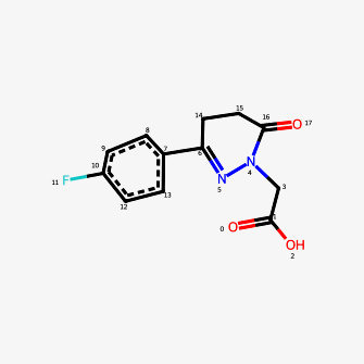 O=C(O)CN1N=C(c2ccc(F)cc2)CCC1=O